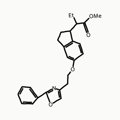 CCC(C(=O)OC)C1CCc2cc(OCCc3coc(-c4ccccc4)n3)ccc21